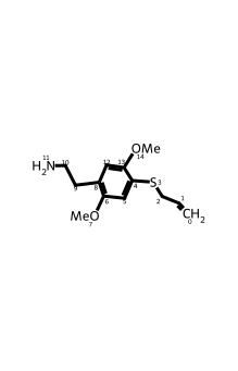 C=CCSc1cc(OC)c(CCN)cc1OC